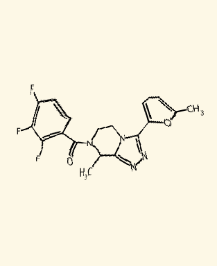 Cc1ccc(-c2nnc3n2CCN(C(=O)c2ccc(F)c(F)c2F)C3C)o1